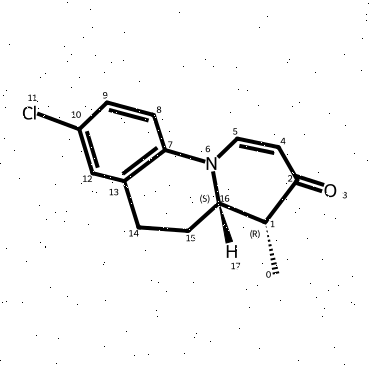 C[C@H]1C(=O)C=CN2c3ccc(Cl)cc3CC[C@@H]12